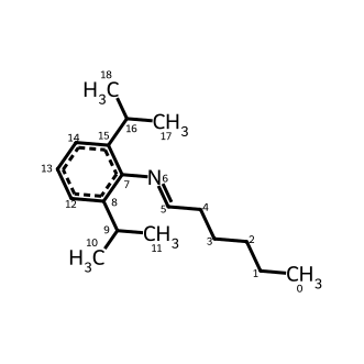 CCCCCC=Nc1c(C(C)C)cccc1C(C)C